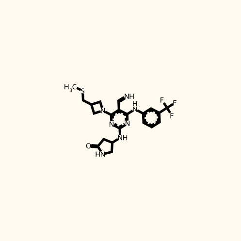 CSCC1CN(c2nc(NC3CNC(=O)C3)nc(Nc3cccc(C(F)(F)F)c3)c2C=N)C1